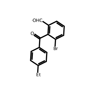 CCc1ccc(C(=O)c2c(Br)cccc2[C]=O)cc1